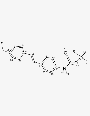 CCc1ccc(/C=C/c2ccc(N(C)C(=O)OC(C)(C)C)cc2)cc1